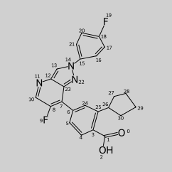 O=C(O)c1ccc(-c2c(F)cnc3cn(-c4ccc(F)cc4)nc23)cc1C1CCCC1